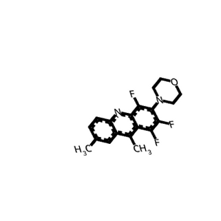 Cc1ccc2nc3c(F)c(N4CCOCC4)c(F)c(F)c3c(C)c2c1